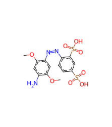 COc1cc(/N=N\c2ccc(S(=O)(=O)O)cc2S(=O)(=O)O)c(OC)cc1N